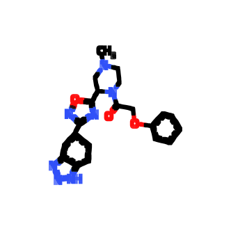 CN1CCN(C(=O)COc2ccccc2)C(c2nc(-c3ccc4[nH]nnc4c3)no2)C1